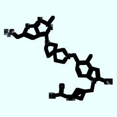 CCC(=O)NC12CC(Cn3c(C#N)cc4c(C)c(CN5CCC6(CCN(c7nc(C)nc8sc(CC(F)(F)F)cc78)C6)C5)ccc43)(C1)C2